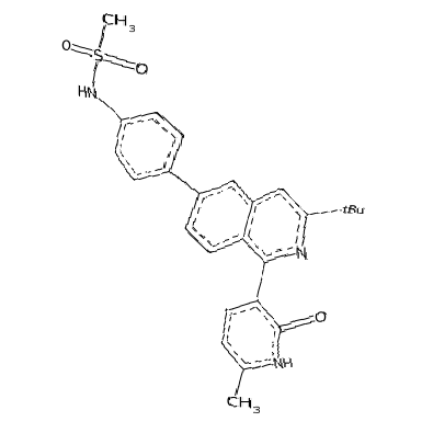 Cc1ccc(-c2nc(C(C)(C)C)cc3cc(-c4ccc(NS(C)(=O)=O)cc4)ccc23)c(=O)[nH]1